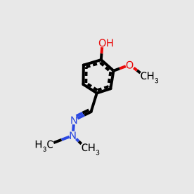 COc1cc(/C=N/N(C)C)ccc1O